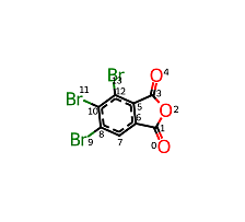 O=C1OC(=O)c2c1cc(Br)c(Br)c2Br